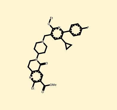 CCOc1nc(-c2ccc(F)cc2)c(C2CC2)cc1CN1CCC(N2CCc3nc(CC)c(C(=O)OC)cc3C2=O)CC1